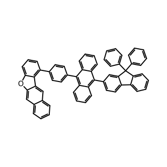 c1ccc(C2(c3ccccc3)c3ccccc3-c3ccc(-c4c5ccccc5c(-c5ccc(-c6cccc7oc8cc9ccccc9cc8c67)cc5)c5ccccc45)cc32)cc1